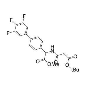 COC(=O)C(NC(=O)CC(=O)OC(C)(C)C)c1ccc(-c2cc(F)c(F)c(F)c2)cc1